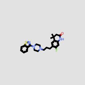 CC1(C)CC(=O)Nc2cc(F)c(CCCN3CCN(c4nsc5ccccc45)CC3)cc21